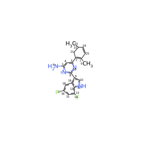 CC1=C(c2cc(N)nc(-c3c[nH]c4c(F)cc(F)cc34)n2)CC(C)C=C1